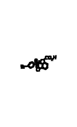 O=C(O)C1CN(S(=O)(=O)c2ccc(Br)cc2)c2c(Cl)cccc21